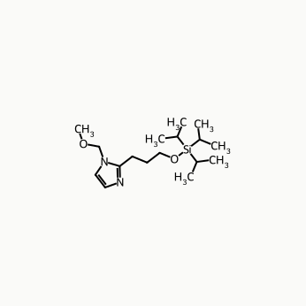 COCn1ccnc1CCCO[Si](C(C)C)(C(C)C)C(C)C